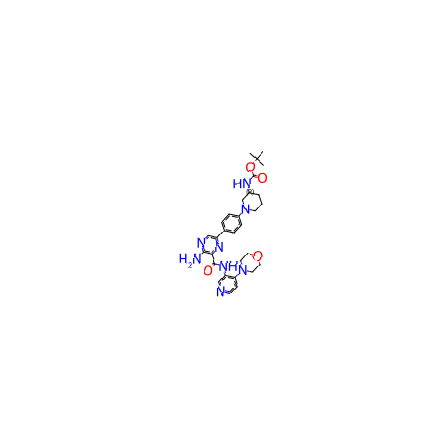 CC(C)(C)OC(=O)N[C@@H]1CCCN(c2ccc(-c3cnc(N)c(C(=O)Nc4cnccc4N4CCOCC4)n3)cc2)C1